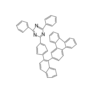 c1ccc(-c2nc(-c3ccccc3)nc(-c3ccc(-c4ccc5ccccc5c4-c4ccc5c6ccccc6c6ccccc6c5c4)cc3)n2)cc1